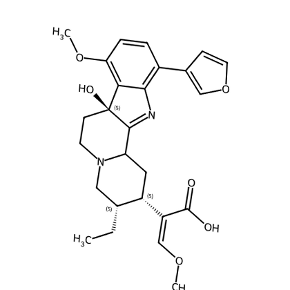 CC[C@@H]1CN2CC[C@@]3(O)C(=Nc4c(-c5ccoc5)ccc(OC)c43)C2C[C@@H]1C(=COC)C(=O)O